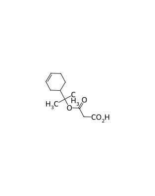 CC(C)(OC(=O)CC(=O)O)C1CC=CCC1